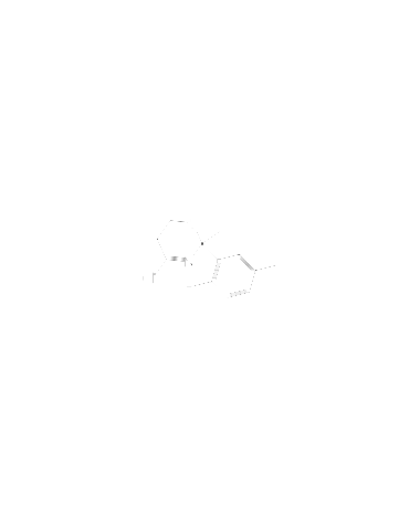 Cc1ccc(F)c(C2(C)N=C(Cl)CCS2)c1